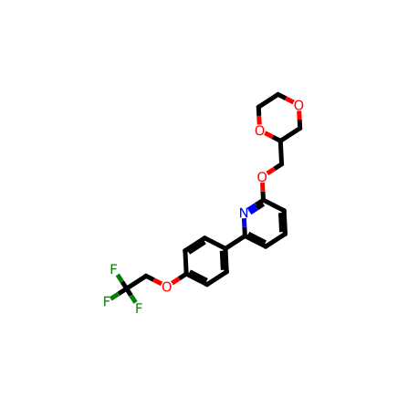 FC(F)(F)COc1ccc(-c2cccc(OCC3COCCO3)n2)cc1